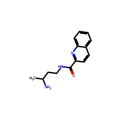 CC(N)CCNC(=O)c1ccc2ccccc2n1